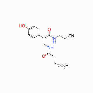 N#CCCNC(=O)C(CNC(=O)CCC(=O)O)c1ccc(O)cc1